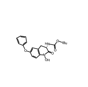 CC(C)(C)OC(=O)N[C@H]1Cc2cc(Oc3ccccc3)ccc2N(O)C1=O